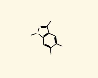 Cc1nn(C)c2cc(N)c(N)cc12